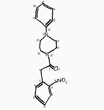 O=C(Cc1ccccc1[N+](=O)[O-])N1CCN(c2ccccc2)CC1